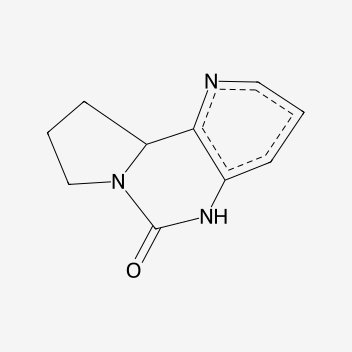 O=C1Nc2cccnc2C2CCCN12